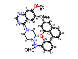 CCOc1cc2ncnc(N3CCN(N(C=O)c4ccccc4Oc4cccc5ccccc45)CC3)c2cc1OC